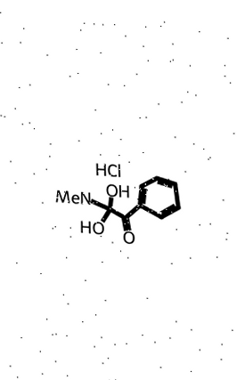 CNC(O)(O)C(=O)c1ccccc1.Cl